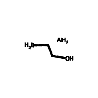 BCCO.[AlH3]